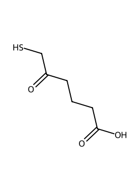 O=C(O)CCCC(=O)CS